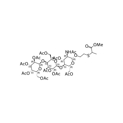 COC(=O)C(C)SCCO[C@@H]1O[C@H](COC(C)=O)[C@@H](O[C@@H]2O[C@H](COC(C)=O)[C@H](O[C@H]3O[C@H](COC(C)=O)[C@H](OC(C)=O)[C@H](OC(C)=O)[C@H]3OC(C)=O)[C@H](OC(C)=O)[C@H]2OC(C)=O)[C@H](OC(C)=O)[C@H]1NC(C)=O